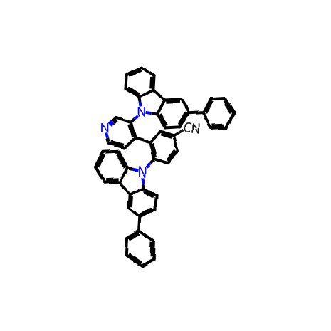 N#Cc1ccc(-n2c3ccccc3c3cc(-c4ccccc4)ccc32)c(-c2ccncc2-n2c3ccccc3c3cc(-c4ccccc4)ccc32)c1